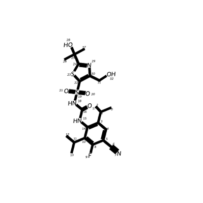 CC(C)c1cc(C#N)c(F)c(C(C)C)c1NC(=O)NS(=O)(=O)c1sc(C(C)(C)O)nc1CO